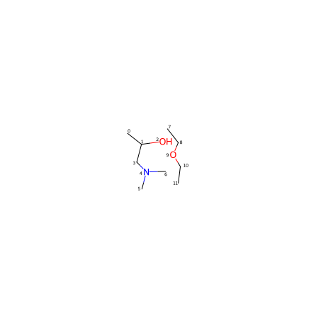 CC(O)CN(C)C.CCOCC